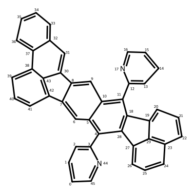 c1ccc(-c2c3cc4c(cc3c(-c3ccccn3)c3c5cccc6cccc(c23)c65)c2cc3ccccc3c3cccc4c32)nc1